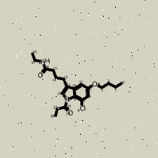 CCCCOc1cc(Cl)c2c(c1)c(CCCC(=O)NCC)cn2C(=O)CC